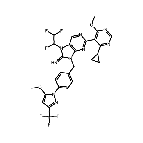 COc1ncnc(C2CC2)c1-c1ncc2c(n1)n(Cc1ccc(-n3nc(C(F)(F)F)cc3OC)cc1)c(=N)n2C(F)C(F)F